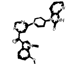 COc1cccc2c(C(=O)c3cc(N4CCC(n5c(=O)[nH]c6ncccc65)CC4)ncn3)cn(C)c12